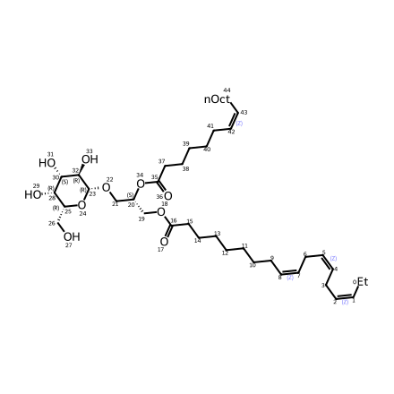 CC/C=C\C/C=C\C/C=C\CCCCCCCC(=O)OC[C@H](CO[C@@H]1O[C@H](CO)[C@H](O)[C@H](O)[C@H]1O)OC(=O)CCCCC/C=C\CCCCCCCC